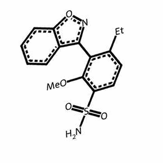 CCc1ccc(S(N)(=O)=O)c(OC)c1-c1noc2ccccc12